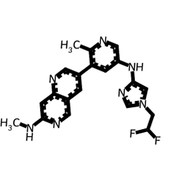 CNc1cc2ncc(-c3cc(Nc4cn(CC(F)F)cn4)cnc3C)cc2cn1